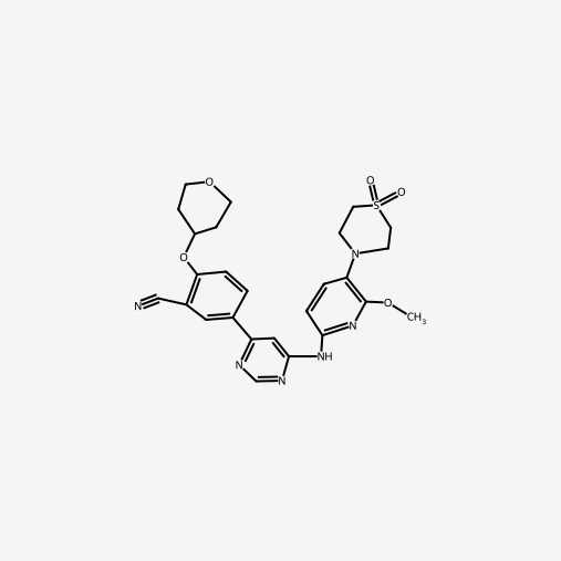 COc1nc(Nc2cc(-c3ccc(OC4CCOCC4)c(C#N)c3)ncn2)ccc1N1CCS(=O)(=O)CC1